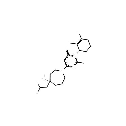 Cc1nc(N2CCC[C@](N)(CC(F)F)CC2)cc(=O)n1[C@@H]1CCCC(Cl)=C1Cl